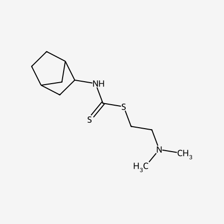 CN(C)CCSC(=S)NC1CC2CCC1C2